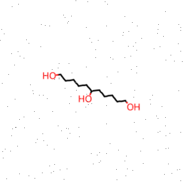 OCCCCCC(O)CCCCCO